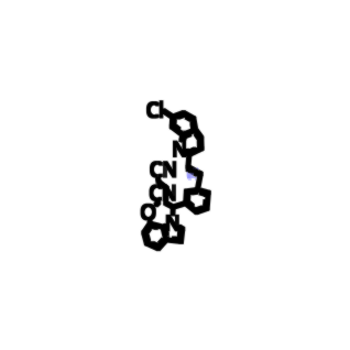 N#CCCCC(c1cccc(/C=C/c2ccc3ccc(Cl)cc3n2)c1)n1ccc2cccc(OCC#N)c21